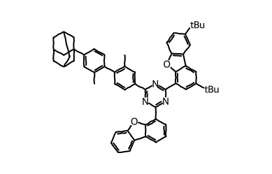 Cc1cc(-c2nc(-c3cccc4c3oc3ccccc34)nc(-c3cc(C(C)(C)C)cc4c3oc3ccc(C(C)(C)C)cc34)n2)ccc1-c1ccc(C23CC4CC(CC(C4)C2)C3)cc1C